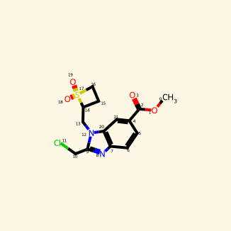 COC(=O)c1ccc2nc(CCl)n(CC3CCS3(=O)=O)c2c1